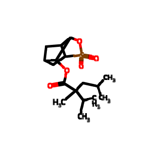 CC(C)CC(C)(C(=O)OC1C2CC3C1OS(=O)(=O)C3C2)C(C)C